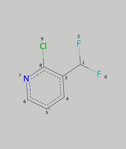 FC(F)c1c[c]cnc1Cl